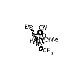 CCOCCN(C)Cc1cc(C#N)ccc1[C@@H]1C(C(=O)OC)=C(C)N(c2cccc(C(F)(F)F)c2)c2n[nH]c(=O)n21